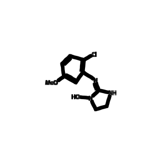 COc1ccc(Cl)c(/N=C2/NCCN2O)c1